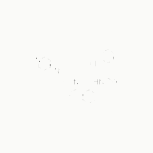 CN(C(=O)c1ccc2c(c1)C(NC(=O)C(C)(C)c1ccccc1Cl)CCC2)C1CCN(c2ccncc2)CC1